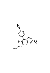 CCCC[C@H]1Cc2cc(OC)ccc2[C@H](c2ccc(C#N)cc2)N1